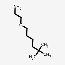 CC(C)(C)CCCCOCCN